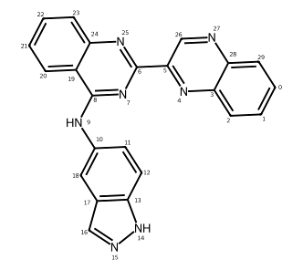 c1ccc2nc(-c3nc(Nc4ccc5[nH]ncc5c4)c4ccccc4n3)cnc2c1